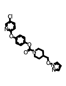 O=C(Oc1ccc(Oc2ccc(Cl)cn2)cc1)N1CCC(COn2cccn2)CC1